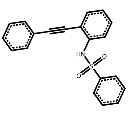 O=S(=O)(Nc1ccccc1C#Cc1ccccc1)c1ccccc1